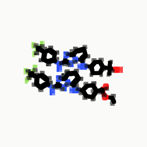 CC(C)(O)C1CCC(Nc2cccc3nc(Nc4ccc(C(F)(F)F)cc4)nn23)CC1.CCOC(=O)C1CCC(Nc2cccc3nc(Nc4ccc(C(F)(F)F)cc4)nn23)CC1